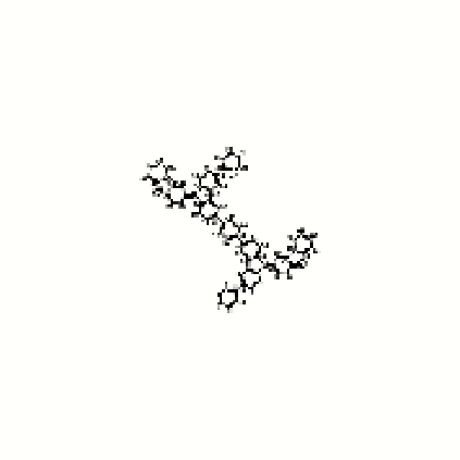 c1ccc(-c2ccc3c(c2)c2cc(-c4ccc(-c5ccc6c(c5)c5cc(-c7ccccc7)ccc5n6-c5ccc6oc7ccccc7c6c5)cc4)ccc2n3-c2ccc3oc4ccccc4c3c2)cc1